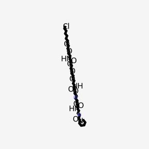 O=C(NC/C=C/C(=O)N1CCCCC1)OC/C=C/COC(=O)NCCOCCOCCOC(=O)NCCOCCOCCCCCCCl